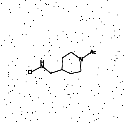 CC(=O)N1CCC(CNCl)CC1